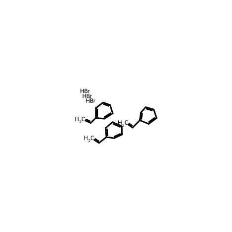 Br.Br.Br.C=Cc1ccccc1.C=Cc1ccccc1.C=Cc1ccccc1